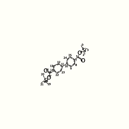 C[Si](C)(C)OC(=O)c1ccc(-c2ccc(C(=O)O[Si](C)(C)C)cc2)cc1